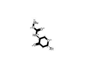 CC[C@@H]1CC(=O)[C@@H](NC(=O)OC(C)(C)C)CO1